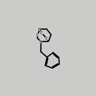 c1ccc(CN2CCN3CCC2CC3)cc1